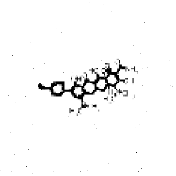 CN(C)c1cc(-c2ccc(C#I)cc2)c(O)c2c1CC1C[C@H]3[C@H](N(C)C)C(O)=C(C(N)=O)C(=O)[C@@]3(O)C(O)=C1C2=O